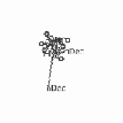 CCCCCCCCCCCCCCCCCCCCCCCCCCN[C@@H](CO[C@H]1O[C@H](Cn2cc(Cc3ccccc3)nn2)[C@H](OCc2ccccc2)[C@H](OCc2ccccc2)[C@H]1OCc1ccccc1)[C@H](OCc1ccccc1)[C@@H](CCCCCCCCCCCCCC)OCc1ccccc1